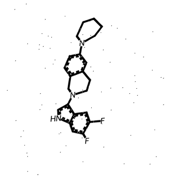 Fc1cc2[nH]cc(N3CCc4cc(N5CCCCC5)ccc4C3)c2cc1F